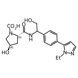 CCn1nccc1-c1ccc(C(CO)NC(=O)[C@@H]2C[C@@H](O)CN2C(=O)O)cc1